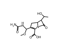 COC(NC(N)=O)C1=C(C(=O)O)N2C(=O)C(C(C)O)C2C1